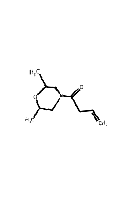 C=CCC(=O)N1CC(C)OC(C)C1